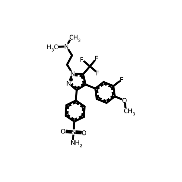 COc1ccc(-c2c(-c3ccc(S(N)(=O)=O)cc3)nn(CCN(C)C)c2C(F)(F)F)cc1F